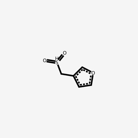 O=[SH](=O)Cc1ccoc1